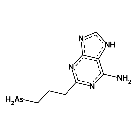 Nc1nc(CCC[AsH2])nc2nc[nH]c12